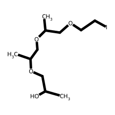 CC(O)COC(C)COC(C)COCCI